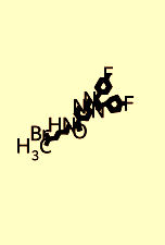 CC(Br)/C=C/CNC(=O)c1cnc2nc(-c3ccc(F)cc3)c(-c3ccc(F)cc3)nc2c1